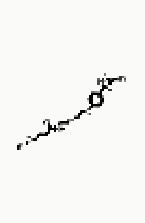 CC(C)OCCCC(=O)NCCOCCOc1ccc(-c2nnc(C(C)C)o2)cc1